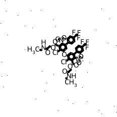 CCNC(=O)COC(=O)c1c(Cl)c(Oc2cc(-c3ccc(C(F)(F)F)cc3)c([N+](=O)[O-])c(C(=O)OCC(=O)NCC)c2Cl)cc(-c2ccc(C(F)(F)F)cc2)c1[N+](=O)[O-]